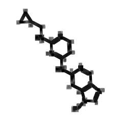 CC(C)n1cnc2cnc(Nc3ccnc(NCC4CC4)n3)cc21